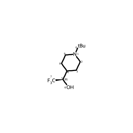 CC(C)(C)N1CCC([C@@H](O)C(F)(F)F)CC1